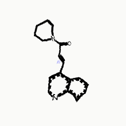 O=C(/C=C/c1ccnc2ccccc12)N1CCCCC1